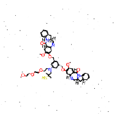 COCCOCCOCCN(CC(C)(C)S)[C@@H]1C=C(COC2=C(OC)C[C@H]3C(=O)N4[C@H](C=NC3C2)CC2CCCC[C@@H]24)C[C@H](COC2=C(OC)C[C@@H]3C(=O)N4C5=CCCC[C@@H]5C[C@@H]4C=N[C@@H]3C2)C1